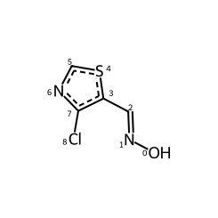 ON=Cc1scnc1Cl